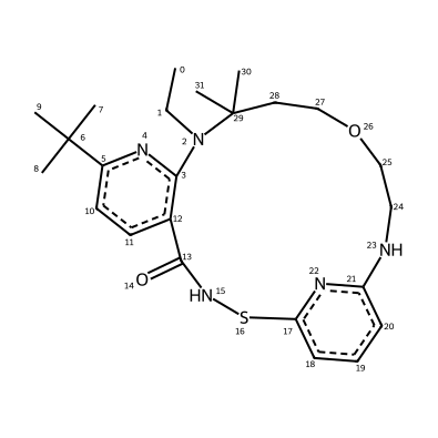 CCN1c2nc(C(C)(C)C)ccc2C(=O)NSc2cccc(n2)NCCOCCC1(C)C